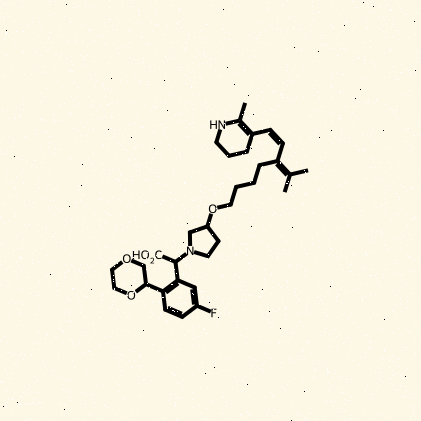 CC(C)=C(/C=C\C1=C(C)NCCC1)CCCCOC1CCN(C(C(=O)O)c2cc(F)ccc2C2COCCO2)C1